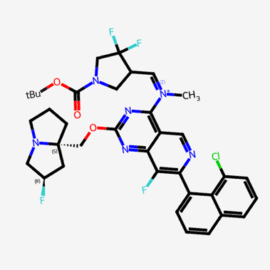 C/[N+](=C/C1CN(C(=O)OC(C)(C)C)CC1(F)F)c1nc(OC[C@@]23CCCN2C[C@H](F)C3)nc2c(F)c(-c3cccc4cccc(Cl)c34)ncc12